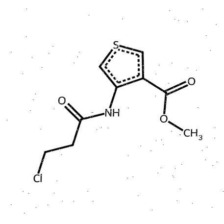 COC(=O)c1cscc1NC(=O)CCCl